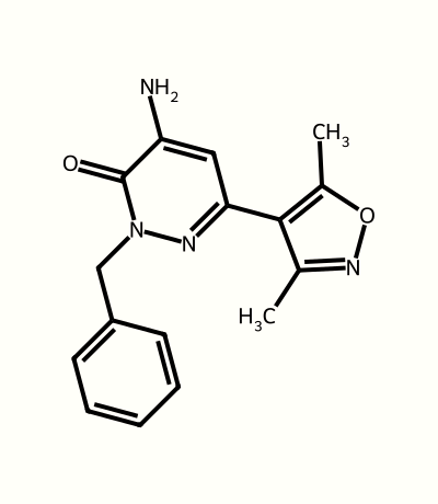 Cc1noc(C)c1-c1cc(N)c(=O)n(Cc2ccccc2)n1